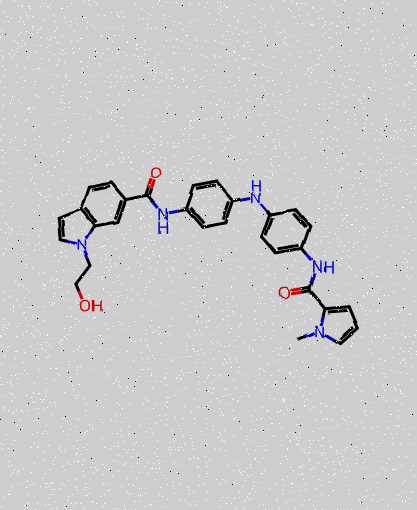 Cn1cccc1C(=O)Nc1ccc(Nc2ccc(NC(=O)c3ccc4ccn(CCO)c4c3)cc2)cc1